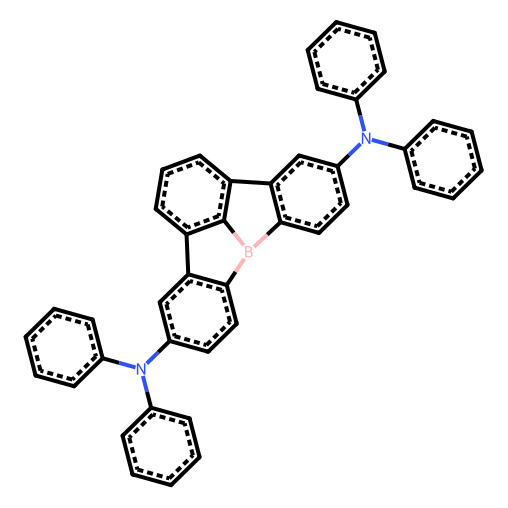 c1ccc(N(c2ccccc2)c2ccc3c(c2)-c2cccc4c2B3c2ccc(N(c3ccccc3)c3ccccc3)cc2-4)cc1